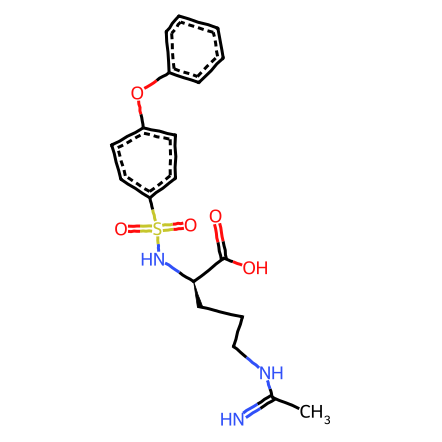 CC(=N)NCCC[C@@H](NS(=O)(=O)c1ccc(Oc2ccccc2)cc1)C(=O)O